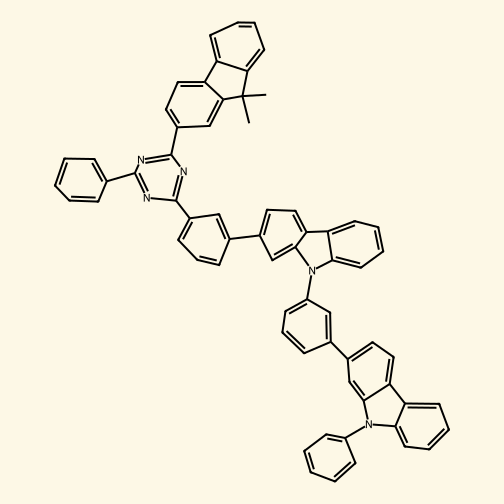 CC1(C)c2ccccc2-c2ccc(-c3nc(-c4ccccc4)nc(-c4cccc(-c5ccc6c7ccccc7n(-c7cccc(-c8ccc9c%10ccccc%10n(-c%10ccccc%10)c9c8)c7)c6c5)c4)n3)cc21